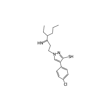 CCCC(CC)C(=N)CCn1cc(-c2ccc(Cl)cc2)c(S)n1